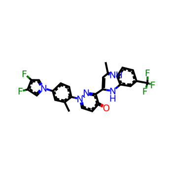 CC(=N)/C=C(\Nc1cccc(C(F)(F)F)c1)c1nn(-c2ccc(-n3cc(F)c(F)c3)cc2C)ccc1=O